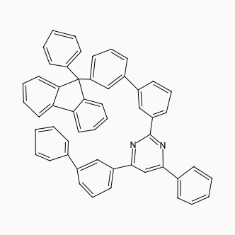 c1ccc(-c2cccc(-c3cc(-c4ccccc4)nc(-c4cccc(-c5cccc(C6(c7ccccc7)c7ccccc7-c7ccccc76)c5)c4)n3)c2)cc1